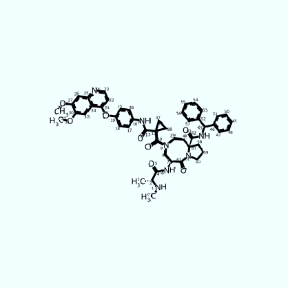 CN[C@H](C)C(=O)N[C@H]1CN(C(=O)C2(C(=O)Nc3ccc(Oc4ccnc5cc(OC)c(OC)cc45)cc3)CC2)CC[C@]2(C(=O)NC(c3ccccc3)c3ccccc3)CCCN2C1=O